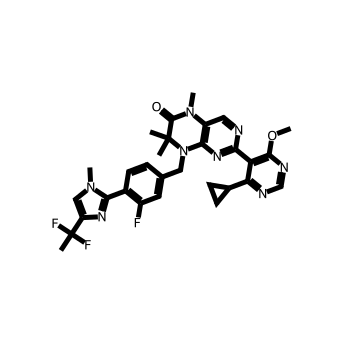 COc1ncnc(C2CC2)c1-c1ncc2c(n1)N(Cc1ccc(-c3nc(C(C)(F)F)cn3C)c(F)c1)C(C)(C)C(=O)N2C